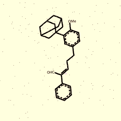 COc1ccc(CC/C=C(\C=O)c2ccccc2)cc1C12CC3CC(CC(C3)C1)C2